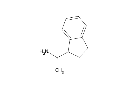 CC(N)C1CCc2ccccc21